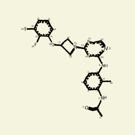 CC(=O)Nc1cccc(Nc2ncnc(N3CC(Oc4cccc(F)c4F)C3)n2)c1C